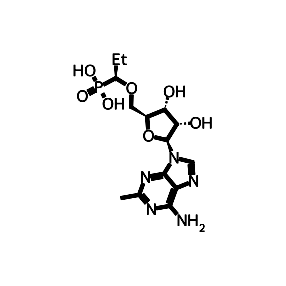 CC[C@@H](OC[C@@H]1O[C@H](n2cnc3c(N)nc(C)nc32)[C@@H](O)[C@H]1O)P(=O)(O)O